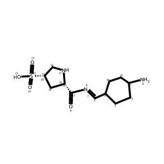 NC1CCC(/C=N/C(=O)[C@@H]2C[C@H](S(=O)(=O)O)CN2)CC1